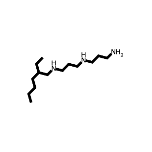 CCCCC(CC)CNCCCNCCCN